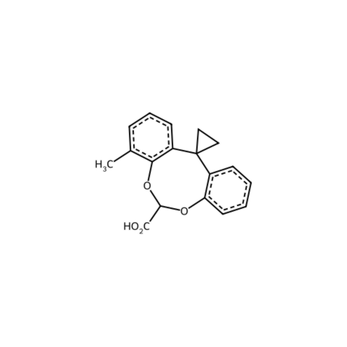 Cc1cccc2c1OC(C(=O)O)Oc1ccccc1C21CC1